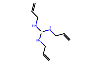 C=CCNB(NCC=C)NCC=C